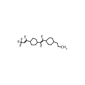 CCCC1CCC(/C(F)=C(\F)C2CCC(/C(F)=C/C(F)(F)F)CC2)CC1